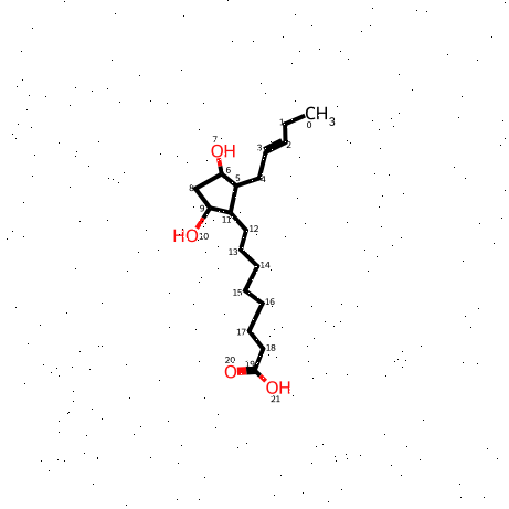 CCC=CCC1C(O)CC(O)C1CCCCCCCC(=O)O